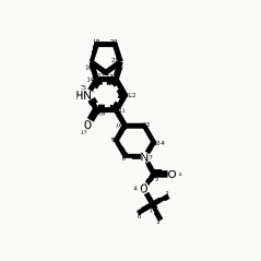 CC(C)(C)OC(=O)N1CCC(c2cc3c([nH]c2=O)C2CCC3C2)CC1